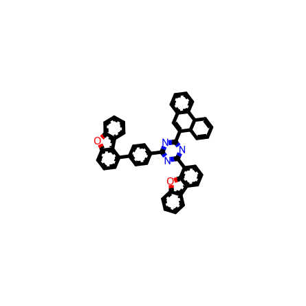 C1=CC2C(c3nc(-c4ccc(-c5cccc6oc7ccccc7c56)cc4)nc(-c4cccc5c4oc4ccccc45)n3)=Cc3ccccc3C2C=C1